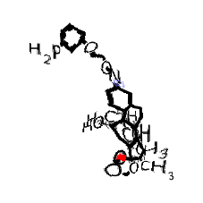 C[C@H]1C[C@H]2[C@@H]3CCC4=C/C(=N/OCCOc5cccc(P)c5)C=C[C@]4(C)[C@@]3(Cl)[C@@H](O)C[C@]2(C)[C@]12OCOC21COCO1